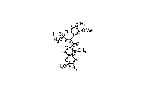 COc1cc2c(cc1C)OC(C)(C)C=C2C(=O)c1ccc2c(c1C)C=CC(C)(C)O2